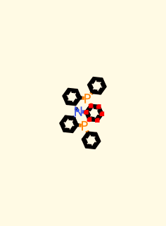 CN(c1ccccc1P(c1ccccc1)c1ccccc1)c1ccccc1P(c1ccccc1)c1ccccc1